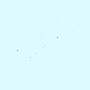 Cn1cc(C2CCN(C(=O)C3CC(F)(F)C3)CC2)c2cc(NC=O)ccc21